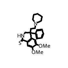 COc1cc2c(cc1OC)C(CCN1CCCCC1)(c1ccccc1)CNC2=S